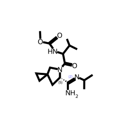 COC(=O)NC(C(=O)N1CC2(CC2)C[C@H]1/C(N)=N/C(C)C)C(C)C